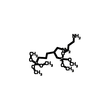 CO[Si](CCCC(CN)C[Si](OC)(OC)OCCCN)(OC)OC